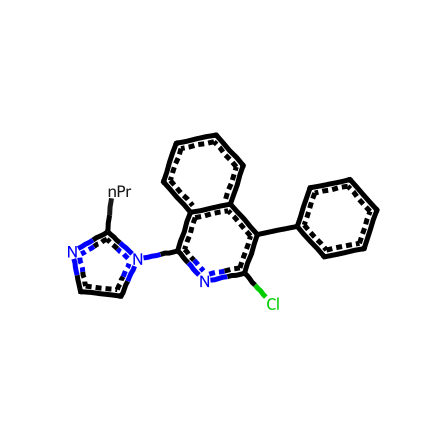 CCCc1nccn1-c1nc(Cl)c(-c2ccccc2)c2ccccc12